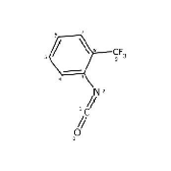 O=C=Nc1cc[c]cc1C(F)(F)F